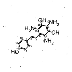 Nc1c(O)c(N)c(C=Cc2ccc(O)cc2)c(N)c1O